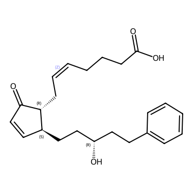 O=C(O)CCC/C=C\C[C@H]1C(=O)C=C[C@@H]1CC[C@@H](O)CCc1ccccc1